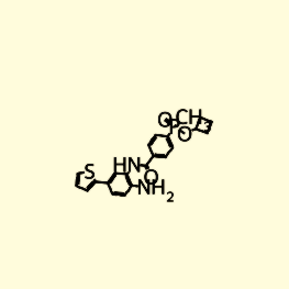 CP(=O)(OC1CCC1)c1ccc(C(=O)Nc2cc(-c3cccs3)ccc2N)cc1